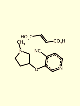 CN1CCC(Oc2cnccc2C#N)C1.O=C(O)C=CC(=O)O